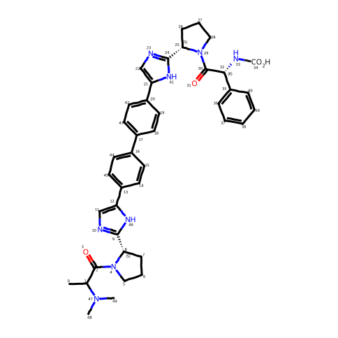 CC(C(=O)N1CCC[C@H]1c1ncc(-c2ccc(-c3ccc(-c4cnc([C@@H]5CCCN5C(=O)[C@H](NC(=O)O)c5ccccc5)[nH]4)cc3)cc2)[nH]1)N(C)C